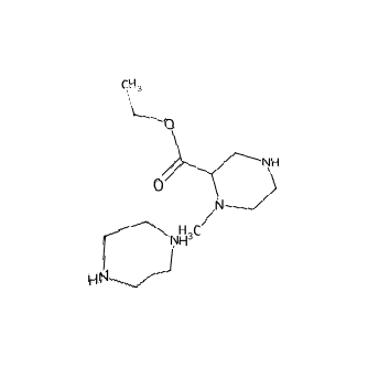 C1CNCCN1.CCOC(=O)C1CNCCN1C